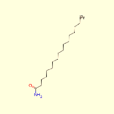 CC(C)CCCCCCCCCCCCCCCC(N)=O